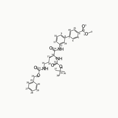 COC(=O)c1ccc(-c2cccc(NC(=O)[C@H](CCCNC(=O)OCc3ccccc3)NC(=O)OC(C)(C)C)c2)cc1